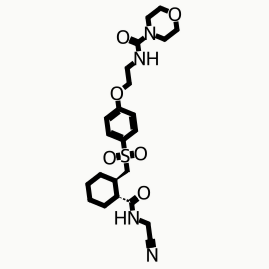 N#CCNC(=O)[C@@H]1CCCC[C@H]1CS(=O)(=O)c1ccc(OCCNC(=O)N2CCOCC2)cc1